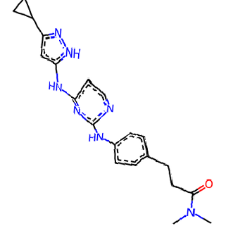 CN(C)C(=O)CCc1ccc(Nc2nccc(Nc3cc(C4CC4)n[nH]3)n2)cc1